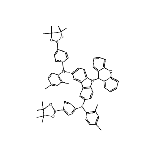 Cc1ccc(N(c2ccc(B3OC(C)(C)C(C)(C)O3)cc2)c2ccc3c(c2)c2cc(N(c4ccc(B5OC(C)(C)C(C)(C)O5)cc4)c4ccc(C)cc4C)ccc2n3C2c3ccccc3Oc3ccccc32)c(C)c1